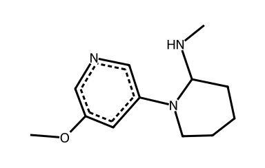 CNC1CCCCN1c1cncc(OC)c1